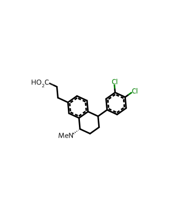 CN[C@H]1CCC(c2ccc(Cl)c(Cl)c2)c2ccc(CCC(=O)O)cc21